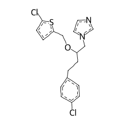 Clc1ccc(CCC(Cn2ccnc2)OCc2ccc(Cl)s2)cc1